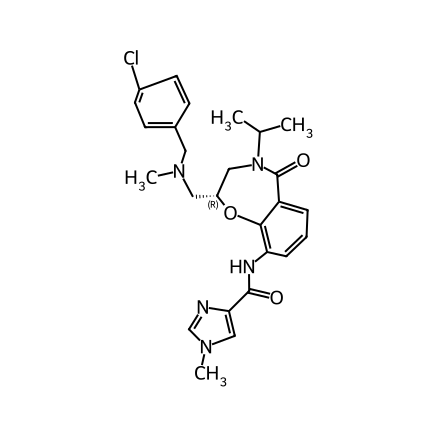 CC(C)N1C[C@@H](CN(C)Cc2ccc(Cl)cc2)Oc2c(NC(=O)c3cn(C)cn3)cccc2C1=O